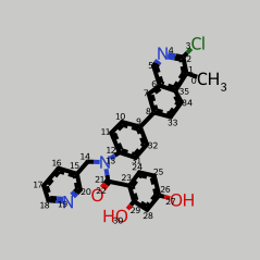 Cc1c(Cl)ncc2cc(-c3ccc(N(Cc4cccnc4)C(=O)c4ccc(O)cc4O)cc3)ccc12